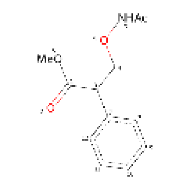 COC(=O)C(CONC(C)=O)c1ccccc1